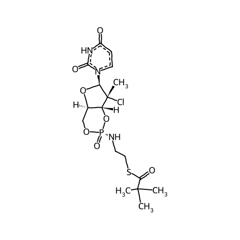 CC(C)(C)C(=O)SCCN[P@]1(=O)OC[C@H]2O[C@@H](n3ccc(=O)[nH]c3=O)[C@](C)(Cl)[C@@H]2O1